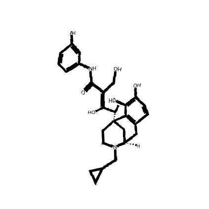 CC(=O)c1cccc(NC(=O)/C(CO)=C(\O)C(C)[C@]23CCN(CC4CC4)[C@H](Cc4ccc(O)c(O)c42)C3)c1